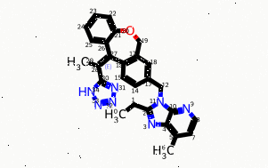 CCc1nc2c(C)ccnc2n1Cc1ccc2c(c1)COc1ccccc1/C2=C(\C)c1nnn[nH]1